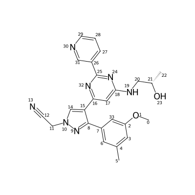 COc1cc(C)cc(-c2nn(CC#N)cc2-c2cc(NC[C@H](C)O)nc(-c3cccnc3)n2)c1